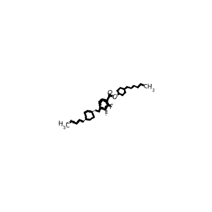 CCCCCCC1CCC(OC(=O)c2ccc(CC[C@H]3CC[C@H](CCCCC)CC3)c(F)c2F)CC1